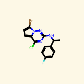 CC(Nc1nc(Cl)c2ccc(Br)n2n1)c1ccc(F)cc1